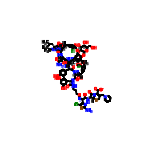 CN[C@H](CC(C)C)C(=O)N[C@H]1C(=O)N[C@@H](CC(N)=O)C(=O)N[C@H]2C(=O)N[C@H]3C(=O)N[C@H](C(=O)N[C@H](C(=O)NCCCO/N=C(\C(=O)N[C@@H]4C(=O)N5C(C(=O)[O-])=C(C[n+]6ccccc6)CS[C@H]45)c4nc(N)sc4Cl)c4cc(O)cc(O)c4-c4cc3ccc4O)[C@H](O)c3ccc(c(Cl)c3)Oc3cc2cc(c3O[C@@H]2O[C@H](CO)[C@@H](O)[C@H](O)[C@H]2O[C@H]2C[C@](C)(N)[C@H](O)[C@H](C)O2)Oc2ccc(cc2Cl)[C@H]1O